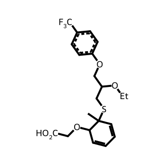 CCOC(COc1ccc(C(F)(F)F)cc1)CSC1(C)C=CC=CC1OCC(=O)O